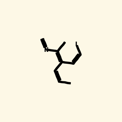 C=N/C(C)=C(\C=C/C)/C=C\I